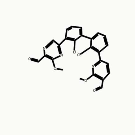 COc1nc(-c2cccc(-c3cccc(-c4cnc(C=O)c(OC)n4)c3Cl)c2Cl)ccc1C=O